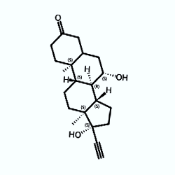 C#C[C@]1(O)CC[C@H]2[C@@H]3[C@@H](O)CC4CC(=O)CC[C@]4(C)[C@H]3CC[C@@]21C